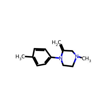 C=C1CN(C)CCN1c1ccc(C)cc1